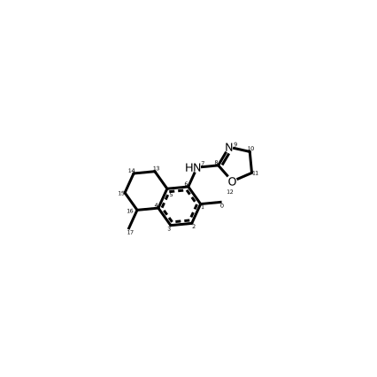 Cc1ccc2c(c1NC1=NCCO1)CCCC2C